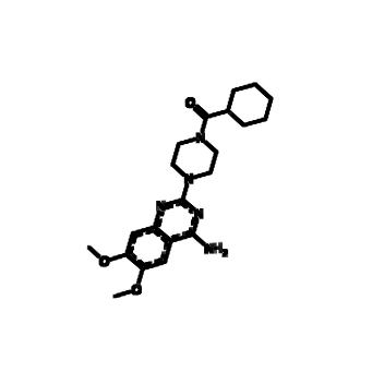 COc1cc2nc(N3CCN(C(=O)C4CCCCC4)CC3)nc(N)c2cc1OC